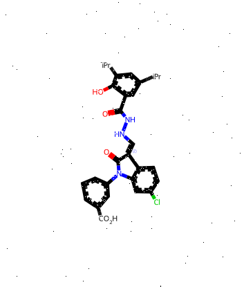 CC(C)c1cc(C(=O)NN/C=C2\C(=O)N(c3cccc(C(=O)O)c3)c3cc(Cl)ccc32)c(O)c(C(C)C)c1